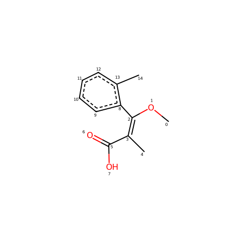 COC(=C(C)C(=O)O)c1ccccc1C